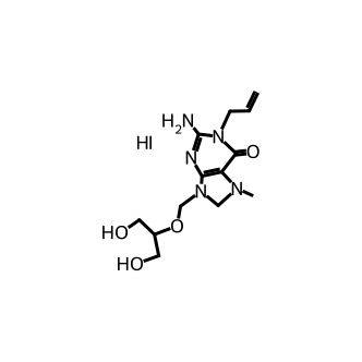 C=CCn1c(N)nc2c(c1=O)N(C)CN2COC(CO)CO.I